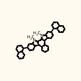 Cn1c2cc(-c3cccc4ccccc34)ccc2c2c3ccccc3c3c4ccc(-c5cccc6ccccc56)cc4n(C)c3c21